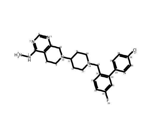 NNc1ncnc2c1CCN(C1CCN(Cc3ccc(F)cc3-c3ccc(Cl)cc3)CC1)C2